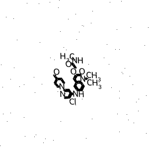 CNC(=O)COc1cc2cc(Nc3cc(N4CCC(C=O)CC4)ncc3Cl)ccc2n(C(C)C)c1=O